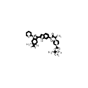 CC(C(=O)N(C)c1ccc2cc(-c3nn(C4CCCCO4)c4c3C[C@@H]3C(F)(F)[C@]3(C)C4)[nH]c2c1)N1CCN(C(=O)OC(C)(C)C)CC1